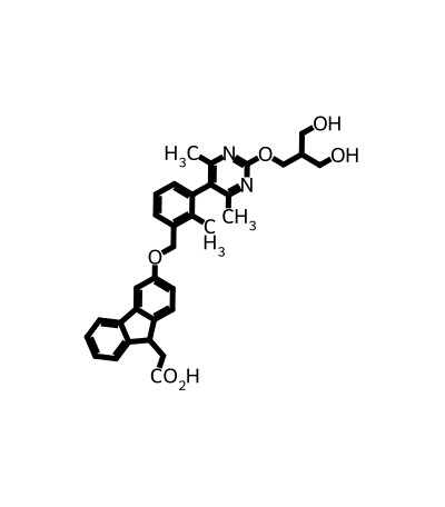 Cc1nc(OCC(CO)CO)nc(C)c1-c1cccc(COc2ccc3c(c2)-c2ccccc2C3CC(=O)O)c1C